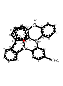 Cc1ccc(-n2c3ccccc3c3ccccc32)c(B2c3ccccc3Oc3ccccc32)c1